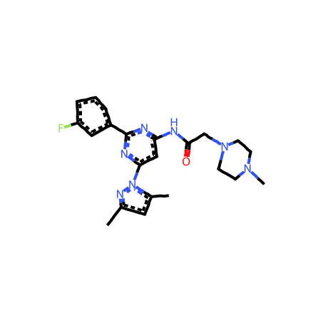 Cc1cc(C)n(-c2cc(NC(=O)CN3CCN(C)CC3)nc(-c3cccc(F)c3)n2)n1